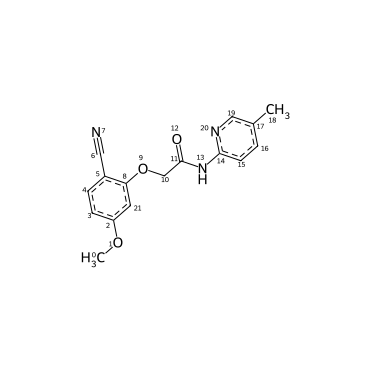 COc1ccc(C#N)c(OCC(=O)Nc2ccc(C)cn2)c1